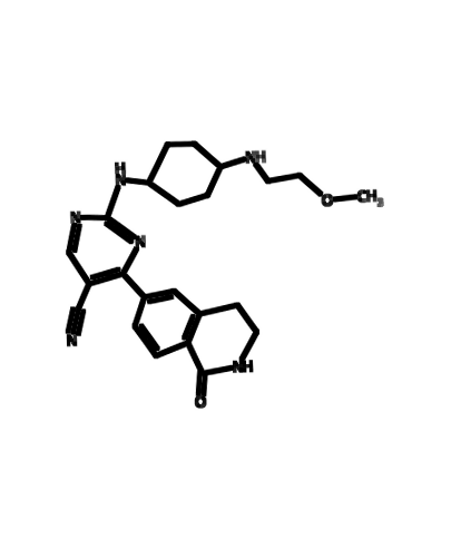 COCCNC1CCC(Nc2ncc(C#N)c(-c3ccc4c(c3)CCNC4=O)n2)CC1